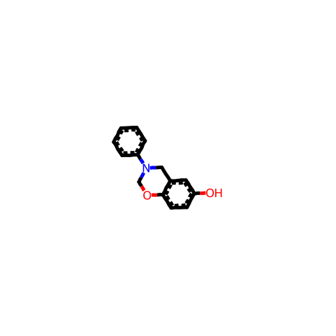 Oc1ccc2c(c1)CN(c1ccccc1)CO2